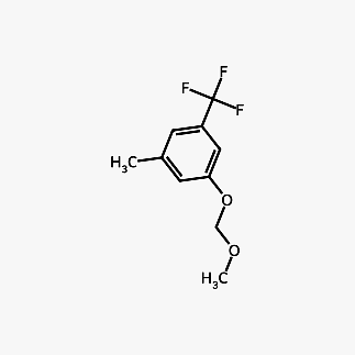 COCOc1cc(C)cc(C(F)(F)F)c1